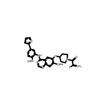 C=C(F)C(=O)N1CCC(Oc2cc3c(Nc4cc(-c5ccco5)ccc4OC)ncnc3cc2OC)CC1